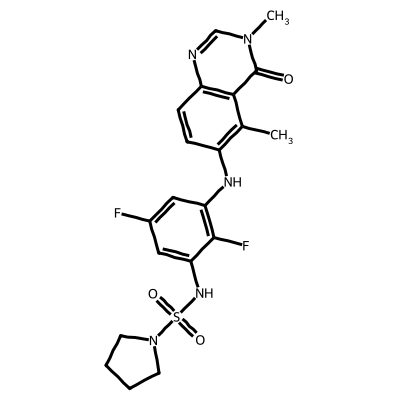 Cc1c(Nc2cc(F)cc(NS(=O)(=O)N3CCCC3)c2F)ccc2ncn(C)c(=O)c12